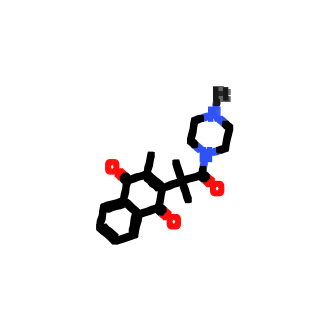 CCN1CCN(C(=O)C(C)(C)C2=C(C)C(=O)c3ccccc3C2=O)CC1